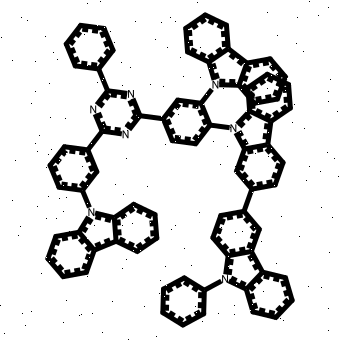 c1ccc(-c2nc(-c3cccc(-n4c5ccccc5c5ccccc54)c3)nc(-c3ccc(-n4c5ccccc5c5ccc(-c6ccc7c(c6)c6ccccc6n7-c6ccccc6)cc54)c(-n4c5ccccc5c5ccccc54)c3)n2)cc1